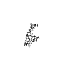 CC12CCC3C(C(O)C(CO)C4CC(=NOC5CCNC5)CCC43C)C1CC(F)C2=O